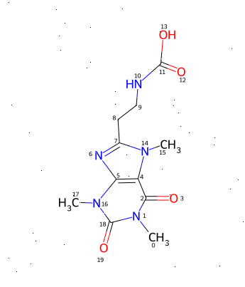 Cn1c(=O)c2c(nc(CCNC(=O)O)n2C)n(C)c1=O